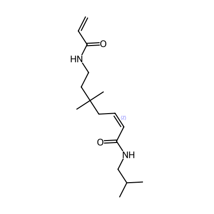 C=CC(=O)NCCC(C)(C)C/C=C\C(=O)NCC(C)C